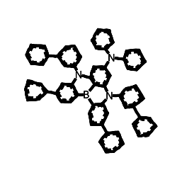 c1ccc(-c2cccc(N3c4cc(-c5ccccc5)ccc4B4c5ccc(-c6ccccc6)cc5N(c5cccc(-c6ccccc6)c5)c5cc(N(c6ccccc6)c6ccccc6)cc3c54)c2)cc1